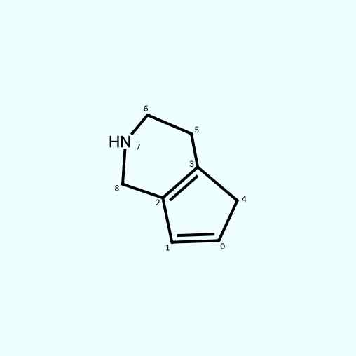 C1=CC2=C(C1)CCNC2